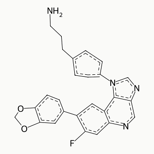 NCCCc1ccc(-n2cnc3cnc4cc(F)c(-c5ccc6c(c5)OCO6)cc4c32)cc1